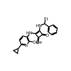 CCC(Nc1c(Nc2ccc(C3CC3)nc2OC)c(=O)c1=O)c1ccccc1